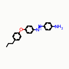 CCCc1ccc(Oc2ccc(/N=N/c3ccc(N)cc3)cc2)cc1